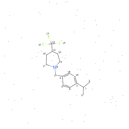 CC(C)c1ccc(CN2CCC(C(F)(F)F)CC2)cc1